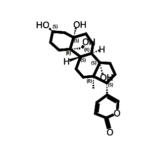 C[C@]12CC[C@H]3[C@@H](CC[C@]4(O)C[C@@H](O)CC[C@]34CO)[C@@]1(O)CC[C@@H]2c1ccc(=O)oc1